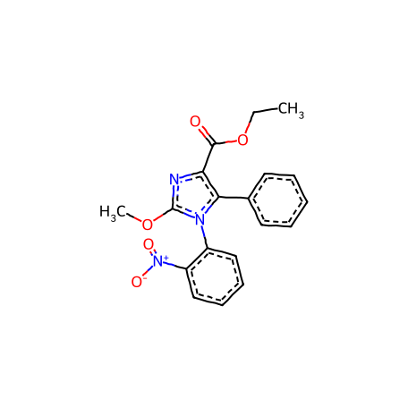 CCOC(=O)c1nc(OC)n(-c2ccccc2[N+](=O)[O-])c1-c1ccccc1